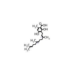 CC(C)=CCC/C(C)=C/CC/C(C)=C/Cc1c(O)cc(C)c(C(=O)O)c1O